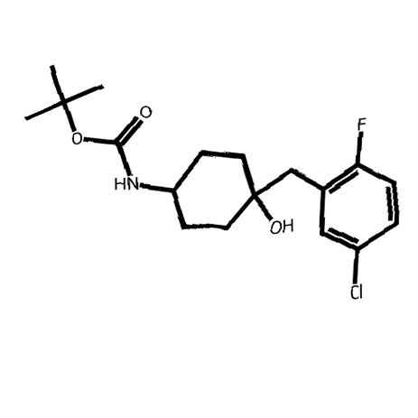 CC(C)(C)OC(=O)NC1CCC(O)(Cc2cc(Cl)ccc2F)CC1